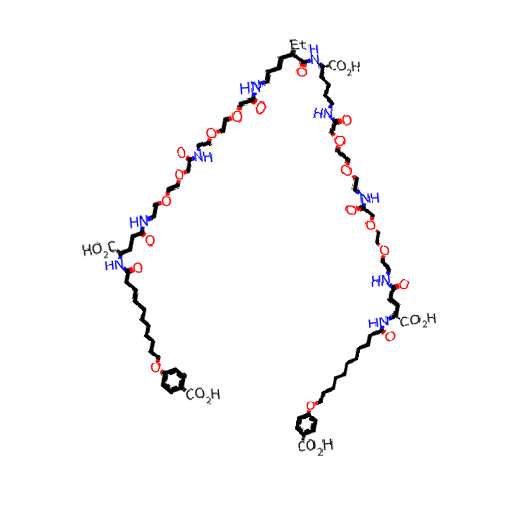 CCC(CCCCNC(=O)COCCOCCNC(=O)COCCOCCNC(=O)CCC(NC(=O)CCCCCCCCCCOc1ccc(C(=O)O)cc1)C(=O)O)C(=O)N[C@H](CCCCNC(=O)COCCOCCNC(=O)COCCOCCNC(=O)CC[C@@H](NC(=O)CCCCCCCCCCOc1ccc(C(=O)O)cc1)C(=O)O)C(=O)O